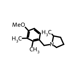 COc1ccc(CN2CCCC2C)c(C)c1C